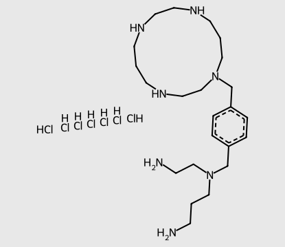 Cl.Cl.Cl.Cl.Cl.Cl.Cl.NCCCN(CCN)Cc1ccc(CN2CCCNCCNCCCNCC2)cc1